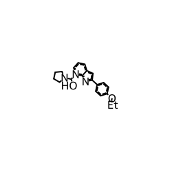 CCOc1ccc(-c2cc3cccn(C(O)N4CCCC4)c-3n2)cc1